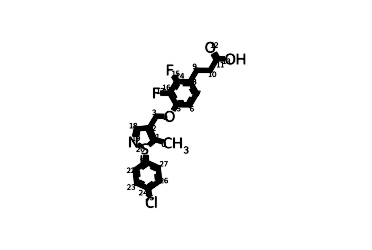 CC1=C(COc2ccc(CCC(=O)O)c(F)c2F)C=N[SH]1c1ccc(Cl)cc1